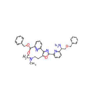 CN(C)CCc1oc(-c2cccc(C(N)COCc3ccccc3)n2)nc1-c1cccc(C(=O)OCc2ccccc2)n1